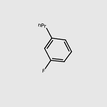 CCCc1cccc(F)c1